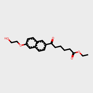 CCOC(=O)CCCCC(=O)c1ccc2cc(OCCO)ccc2c1